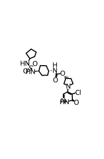 O=C(N[C@H]1CC[C@H](NS(=O)(=O)NC2CCCC2)CC1)O[C@@H]1CCN(c2cn[nH]c(=O)c2Cl)C1